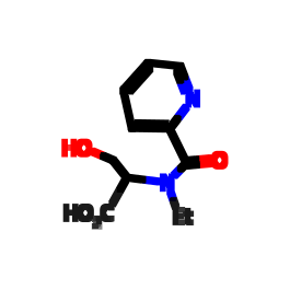 CCN(C(=O)c1ccccn1)C(CO)C(=O)O